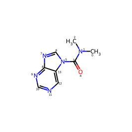 CN(C)C(=O)n1cnc2ncncc21